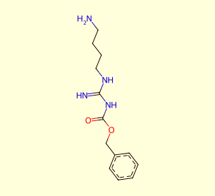 N=C(NCCCCN)NC(=O)OCc1ccccc1